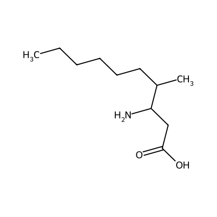 CCCCCCC(C)C(N)CC(=O)O